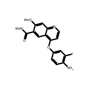 CNC(=O)c1cc2c(Oc3ccc(N)c(F)c3)ccnc2cc1OC